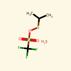 CC(C)SOS(=O)(=O)C(F)(F)F.S